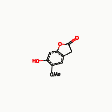 COc1cc2c(cc1O)OC(=O)C2